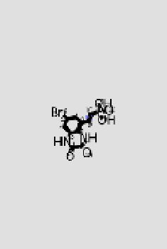 O=c1[nH]c2cc(Br)cc(/C=C/P(=O)(O)O)c2[nH]c1=O